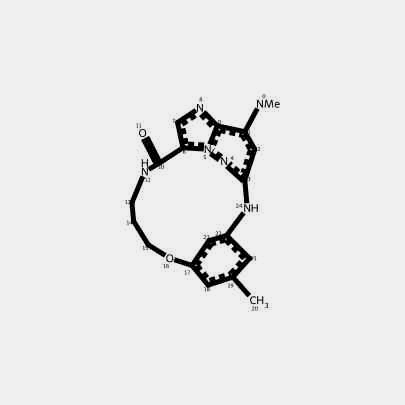 CNc1cc2nn3c(cnc13)C(=O)NCCCOc1cc(C)cc(c1)N2